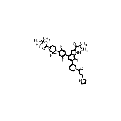 CN(C)C(=O)c1cc2c(-c3cc(F)c([C@@H]4CCN(C(=O)OC(C)(C)C)CC4(F)F)cc3F)cc(C3=CCCN(C(=O)CCn4cccn4)C3)c(F)c2[nH]1